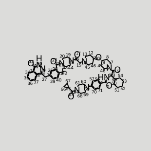 O=C(N[C@@H](C(=O)N1CCC(OC2CCN(CC(=O)N3CCN(C(=O)c4cc(Cc5n[nH]c(=O)c6ccccc56)ccc4F)CC3)CC2)CC1)C1CCCCC1)c1ccc(N2CCN(C(=O)C3CC3)CC2)cc1